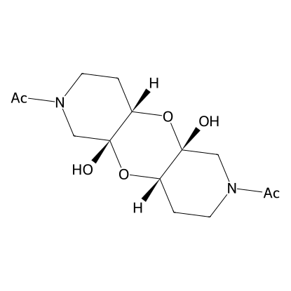 CC(=O)N1CC[C@@H]2O[C@]3(O)CN(C(C)=O)CC[C@@H]3O[C@]2(O)C1